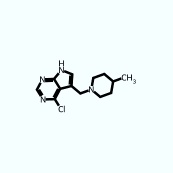 CC1CCN(Cc2c[nH]c3ncnc(Cl)c23)CC1